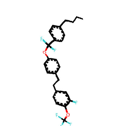 CCCCc1ccc(C(F)(F)Oc2ccc(CCc3ccc(OC(F)(F)F)c(F)c3)cc2)cc1